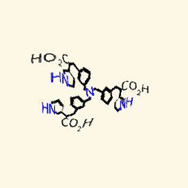 O=C(O)[C@@H](Cc1cccc(CN(Cc2cccc(C[C@H](C(=O)O)[C@H]3CCCNC3)c2)Cc2cccc(C[C@H](C(=O)O)[C@H]3CCCNC3)c2)c1)[C@H]1CCCNC1